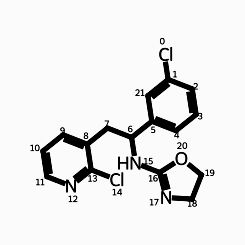 Clc1cccc(C(Cc2cccnc2Cl)NC2=NCCO2)c1